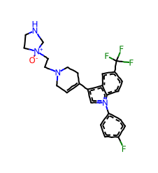 [O-][N+]1(CCN2CC=C(c3cn(-c4ccc(F)cc4)c4ccc(C(F)(F)F)cc34)CC2)CCNC1